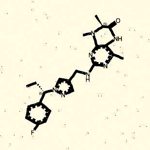 CC[C@@H](c1ccc(F)cc1)n1cc(CNc2nc(C)c3c(n2)N(C)[C@@H](C)C(=O)N3)cn1